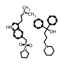 CN(C)CCc1c[nH]c2ccc(CS(=O)(=O)N3CCCC3)cc12.OC(CCCN1CCCCC1)(c1ccccc1)c1ccccc1